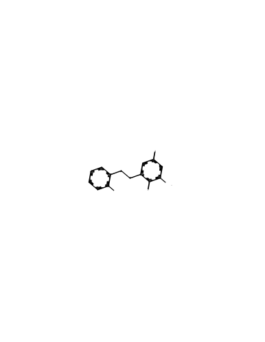 Oc1cc(O)c(O)c(CCc2ccccc2O)c1